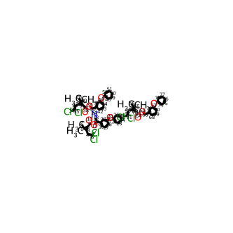 CC1(C)C(C=C(Cl)Cl)C1C(=O)OC(C#N)c1cccc(Oc2ccccc2)c1.CC1(C)C(C=C(Cl)Cl)C1C(=O)OCc1cccc(Oc2ccccc2)c1.CC1(C)[C@H](C=C(Cl)Cl)[C@H]1C(=O)OCc1cccc(Oc2ccccc2)c1